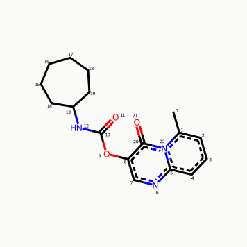 Cc1cccc2ncc(OC(=O)NC3CCCCCC3)c(=O)n12